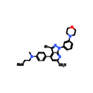 COCCN(C)c1ccc(-c2cc(C(=O)O)nc3c2c(C(C)C)nn3-c2cccc(N3CCOCC3)c2)cc1